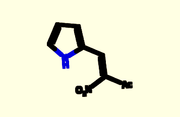 CC(=O)C(=Cc1ccc[nH]1)[N+](=O)[O-]